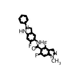 Cn1ncc2c(F)c(C(=O)Nc3cc4c(cc3F)NN(c3ccccc3)C4)c(F)cc21